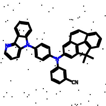 CC1(C)c2cccc3ccc4cc(N(c5ccc(-n6c7ccccc7c7ncccc76)cc5)c5cccc(C#N)c5)cc1c4c23